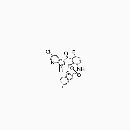 Cc1ccc2sc(S(=O)(=O)Nc3ccc(F)c(C(=O)c4c[nH]c5ncc(Cl)cc45)c3F)cc2c1